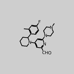 Cc1cc(F)ccc1C1CCCCN1c1cc(C=O)nc(N2CCN(C)CC2)c1